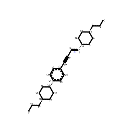 CCC[C@H]1CC[C@H](/C=C/C#Cc2ccc([C@H]3CC[C@H](CCC)CC3)cc2)CC1